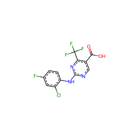 O=C(O)c1cnc(Nc2ccc(F)cc2Cl)nc1C(F)(F)F